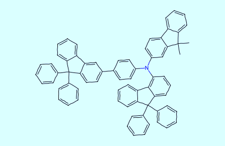 CC1(C)c2ccccc2-c2ccc(N(c3ccc(-c4ccc5c(c4)-c4ccccc4C5(c4ccccc4)c4ccccc4)cc3)c3cccc4c3-c3ccccc3C4(c3ccccc3)c3ccccc3)cc21